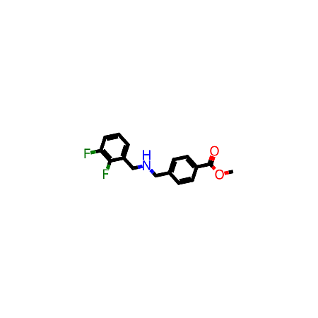 COC(=O)c1ccc(CNCc2cccc(F)c2F)cc1